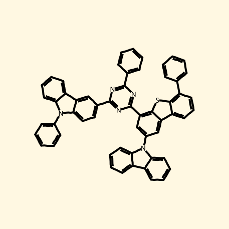 c1ccc(-c2nc(-c3ccc4c(c3)c3ccccc3n4-c3ccccc3)nc(-c3cc(-n4c5ccccc5c5ccccc54)cc4c3sc3c(-c5ccccc5)cccc34)n2)cc1